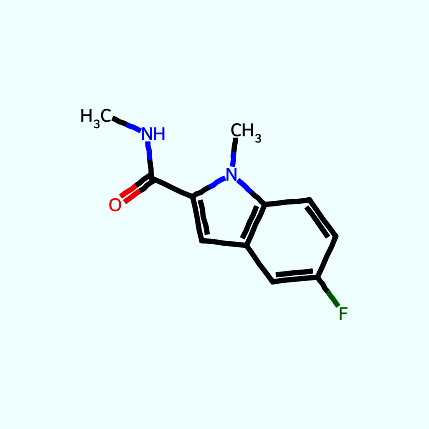 CNC(=O)c1cc2cc(F)ccc2n1C